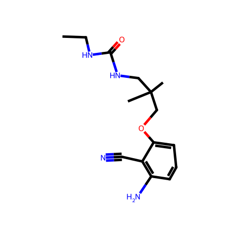 CCNC(=O)NCC(C)(C)COc1cccc(N)c1C#N